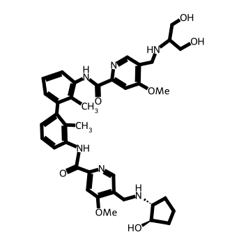 COc1cc(C(=O)Nc2cccc(-c3cccc(NC(=O)c4cc(OC)c(CN[C@@H]5CCC[C@H]5O)cn4)c3C)c2C)ncc1CNC(CO)CO